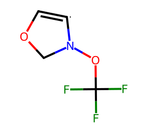 FC(F)(F)ON1[C]=COC1